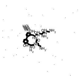 Cl.Cl.Cl.Cl.NCCC[C@@H]1NC(=O)[C@@H](N)Cc2cc(ccc2O)-c2ccc(O)c(c2)C[C@@H](C(=O)NC[C@H](N)C(=O)NCCN)NC1=O